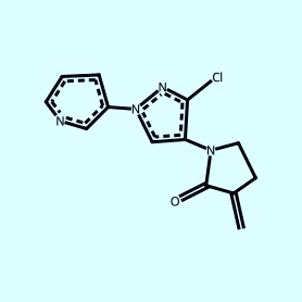 C=C1CCN(c2cn(-c3cccnc3)nc2Cl)C1=O